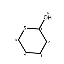 O[C]1CCCCS1